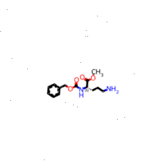 COC(=O)[C@H](CCCN)NC(=O)OCc1ccccc1